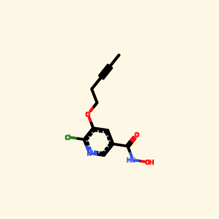 CC#CCCOc1cc(C(=O)NO)cnc1Cl